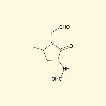 CC1CC(NC=O)C(=O)N1CC=O